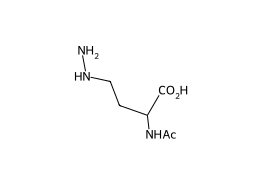 CC(=O)NC(CCNN)C(=O)O